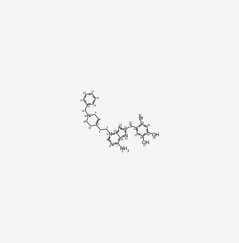 Nc1ncn(CCC2=CCN(Cc3ccccc3)CC2)c2nc(Sc3cc(O)c(O)cc3Br)nc1-2